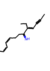 CC#C/C=C(\CC)C(=N)CC/C=C\C=C/C